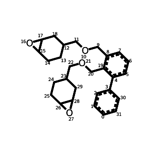 c1ccc(-c2cccc(COCC3CCC4OC4C3)c2COCC2CCC3OC3C2)cc1